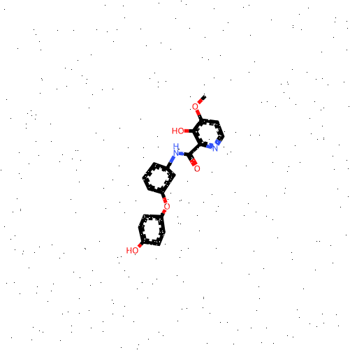 COc1ccnc(C(=O)Nc2cccc(Oc3ccc(O)cc3)c2)c1O